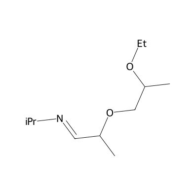 CCOC(C)COC(C)/C=N/C(C)C